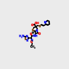 CCON=C(C(=O)NC1C(=O)N2CC(CSC=Cc3ccccn3)(C(=O)O)CS[C@H]12)c1nsc(N)n1